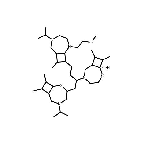 COCCN1CCN(C(C)C)CC2C(C)C(CCC(CC3CN(C(C)C)CC4C(C)C(C)C4S3)N3CCO[C@@H]4C(C)C(C)C4C3)C21